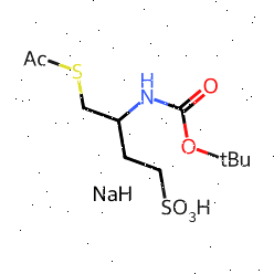 CC(=O)SCC(CCS(=O)(=O)O)NC(=O)OC(C)(C)C.[NaH]